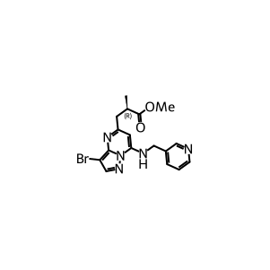 COC(=O)[C@H](C)Cc1cc(NCc2cccnc2)n2ncc(Br)c2n1